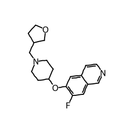 Fc1cc2cnccc2cc1OC1CCN(CC2CCOC2)CC1